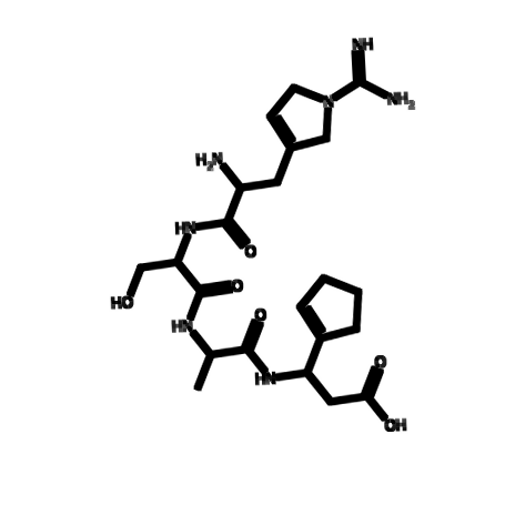 CC(NC(=O)C(CO)NC(=O)C(N)CC1=CCN(C(=N)N)C1)C(=O)NC(CC(=O)O)C1=CCCC1